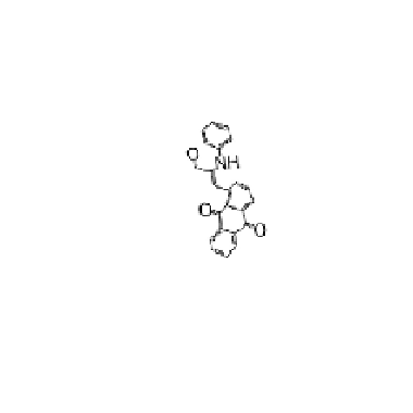 O=CC(=Cc1cccc2c1C(=O)c1ccccc1C2=O)Nc1ccccc1